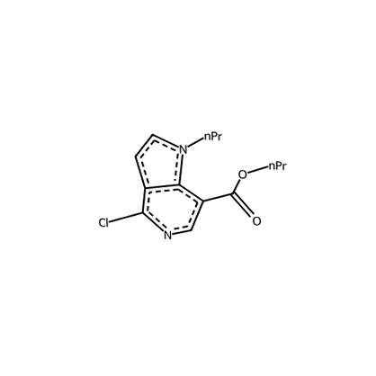 CCCOC(=O)c1cnc(Cl)c2ccn(CCC)c12